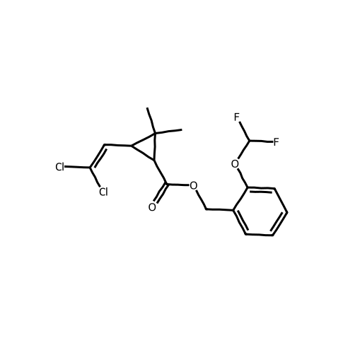 CC1(C)C(C=C(Cl)Cl)C1C(=O)OCc1ccccc1OC(F)F